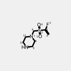 C=C(F)S(=O)(=O)CN1CCNCC1